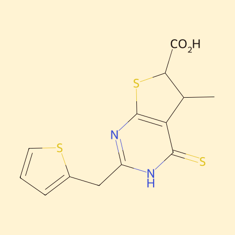 CC1c2c(nc(Cc3cccs3)[nH]c2=S)SC1C(=O)O